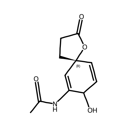 CC(=O)NC1=C[C@]2(C=CC1O)CCC(=O)O2